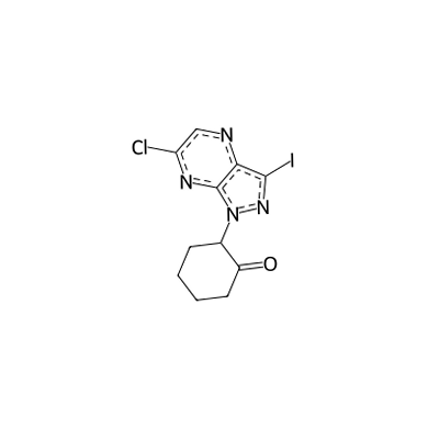 O=C1CCCCC1n1nc(I)c2ncc(Cl)nc21